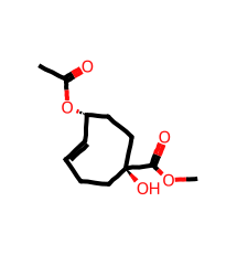 COC(=O)[C@]1(O)CC/C=C/[C@H](OC(C)=O)CC1